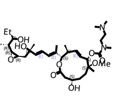 CC[C@@H](O)[C@@H](C)[C@H]1O[C@@H]1C[C@](C)(O)/C=C/C=C(\C)[C@H]1OC(=O)C[C@@H](O)CC[C@](C)(OC)[C@@H](OC(=O)N(C)CCN(C)C)/C=C/[C@@H]1C